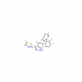 Fc1ccc(C2(c3ccccc3)C=Cc3c(-c4nccs4)n[nH]c3C2)cc1F